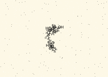 CC[C@H]1[C@@H](O)[C@@H]2[C@H](CC[C@]3(C)[C@@H]([C@H](C)CCCOC(=O)NS(=O)(=O)C4CCCC4)CC[C@@H]23)[C@@]2(C)CC[C@@H](O)C[C@@H]12